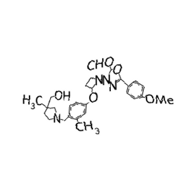 COc1ccc(C2=NN(N3CCC3Oc3ccc(CN4CCC(C)(CO)C4)c(C)c3)C(C=O)O2)cc1